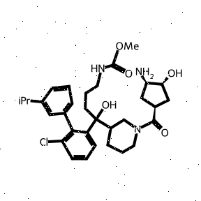 COC(=O)NCCCC(O)(c1cccc(Cl)c1-c1cccc(C(C)C)c1)C1CCCN(C(=O)[C@H]2C[C@@H](N)[C@@H](O)C2)C1